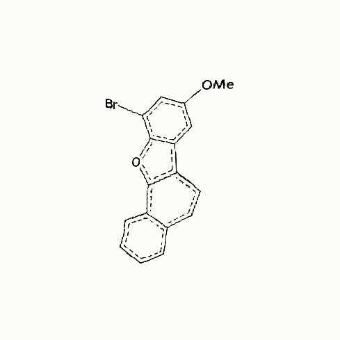 COc1cc(Br)c2oc3c4ccccc4ccc3c2c1